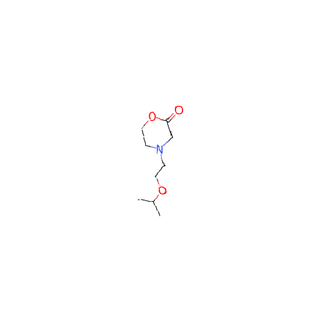 CC(C)OCCN1CCOC(=O)C1